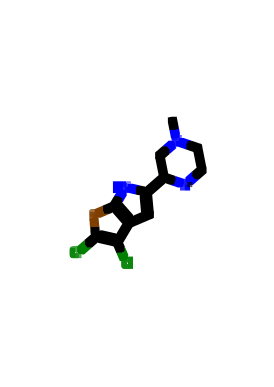 CN1CC[N]C(c2cc3c(Cl)c(Cl)sc3[nH]2)C1